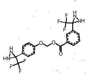 O=C(OCOc1ccc(C2(C(F)(F)F)NN2)cc1)c1cccc(C2(C(F)(F)F)NN2)c1